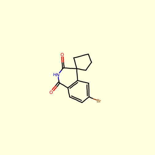 O=C1NC(=O)C2(CCCC2)c2cc(Br)ccc21